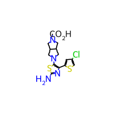 Nc1nc(-c2cc(Cl)cs2)c(N2CC3CN(C(=O)O)CC3C2)s1